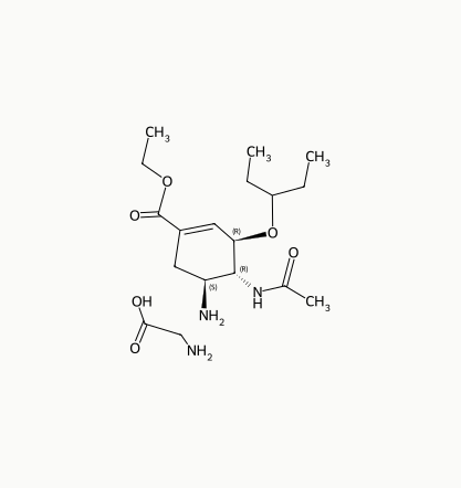 CCOC(=O)C1=C[C@@H](OC(CC)CC)[C@H](NC(C)=O)[C@@H](N)C1.NCC(=O)O